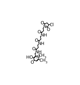 Cc1cc(=O)c(O)c(CNC(=O)CCNC(=O)CCNC(=O)CCN2C(=O)CC(Cl)C2=O)n1C